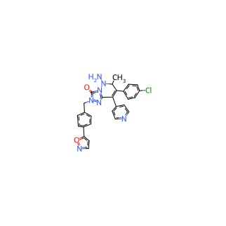 CC1C(c2ccc(Cl)cc2)=C(c2ccncc2)c2nn(Cc3ccc(-c4ccno4)cc3)c(=O)n2N1N